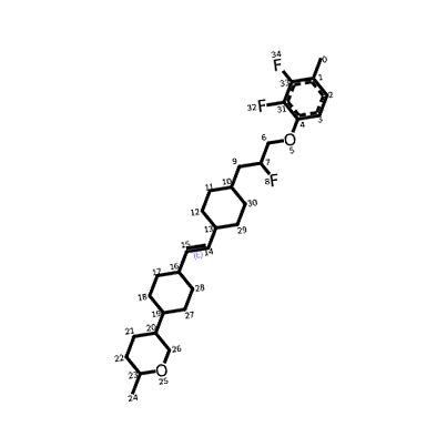 Cc1ccc(OCC(F)CC2CCC(/C=C/C3CCC(C4CCC(C)OC4)CC3)CC2)c(F)c1F